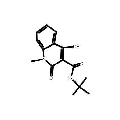 Cn1c(=O)c(C(=O)NC(C)(C)C)c(O)c2ccccc21